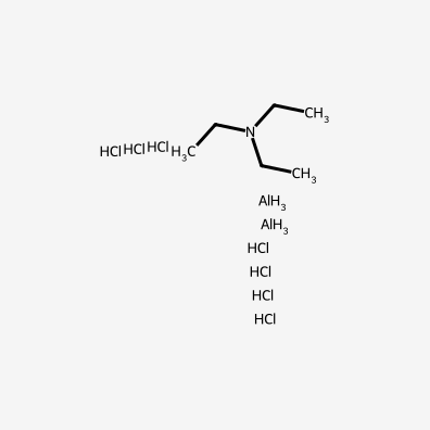 CCN(CC)CC.Cl.Cl.Cl.Cl.Cl.Cl.Cl.[AlH3].[AlH3]